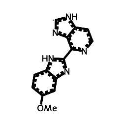 COc1ccc2[nH]c(-c3nccc4[nH][c]nc34)nc2c1